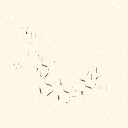 COc1nc(-c2cccc(-c3cccc(NC(=O)c4cn(C)c(=O)n(C)c4=O)c3Cl)c2Cl)cc2c1[C@@H](NC[C@@H]1CCC(=O)N1)CO2